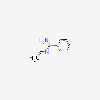 C=CN=C(N)c1ccccc1